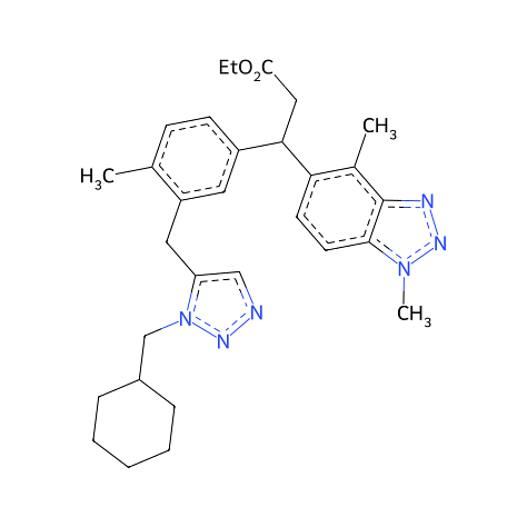 CCOC(=O)CC(c1ccc(C)c(Cc2cnnn2CC2CCCCC2)c1)c1ccc2c(nnn2C)c1C